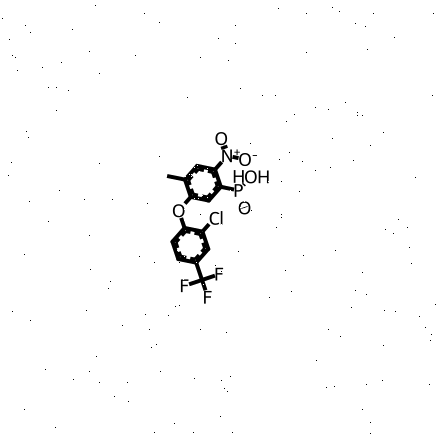 Cc1cc([N+](=O)[O-])c([PH](=O)O)cc1Oc1ccc(C(F)(F)F)cc1Cl